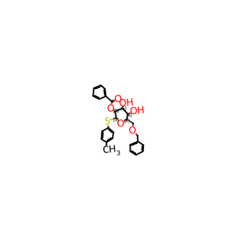 Cc1ccc(S[C@@H]2O[C@H](COCc3ccccc3)[C@H](O)[C@H](O)[C@H]2OC(=O)c2ccccc2)cc1